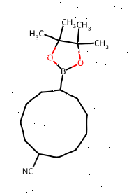 CC1(C)OB(C2CCCCCC(C#N)CCCC2)OC1(C)C